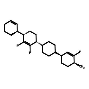 C[C@H]1CC[C@@H](C2CCC([C@H]3CC[C@@H]([C@@H]4C=CCCC4)C(F)=C3F)CC2)C=C1F